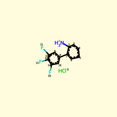 Cl.Nc1ccccc1-c1cc(F)c(F)c(F)c1